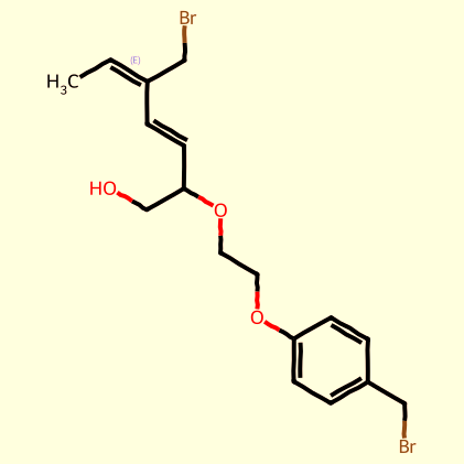 C/C=C(\C=CC(CO)OCCOc1ccc(CBr)cc1)CBr